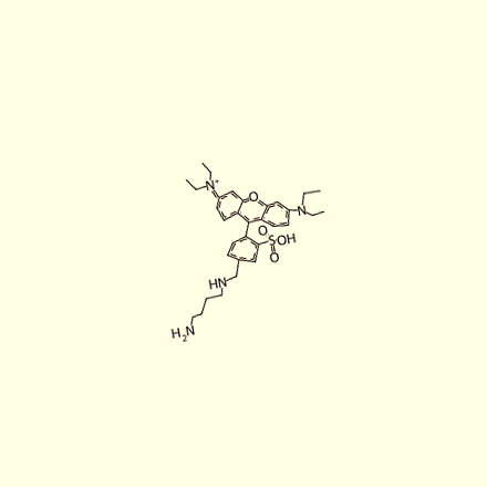 CCN(CC)c1ccc2c(-c3ccc(CNCCCCN)cc3S(=O)(=O)O)c3ccc(=[N+](CC)CC)cc-3oc2c1